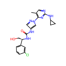 Cc1cnc(NC2CC2)nc1-n1cc(NC(=O)N[C@H](CO)c2cccc(Cl)c2)cn1